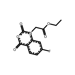 CCOC(=O)Cn1c(=O)oc(=O)c2ccc(F)cc21